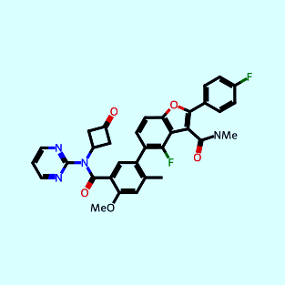 CNC(=O)c1c(-c2ccc(F)cc2)oc2ccc(-c3cc(C(=O)N(c4ncccn4)C4CC(=O)C4)c(OC)cc3C)c(F)c12